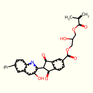 C=C(C)C(=O)OCC(O)COC(=O)c1ccc2c(c1)C(=O)C(c1nc3ccc(C(C)C)cc3cc1O)C2=O